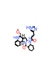 COC[C@@H]1Nc2ccccc2[C@H]2[C@@H]1CCN2C(=O)[C@H]1CCCC[C@H]1NC(=O)/C=C/c1c[nH]cn1